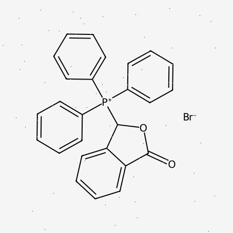 O=C1OC([P+](c2ccccc2)(c2ccccc2)c2ccccc2)c2ccccc21.[Br-]